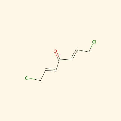 O=C(C=CCCl)C=CCCl